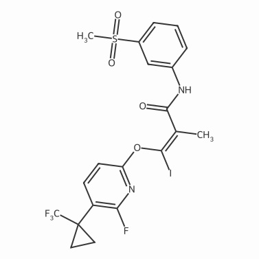 C/C(C(=O)Nc1cccc(S(C)(=O)=O)c1)=C(\I)Oc1ccc(C2(C(F)(F)F)CC2)c(F)n1